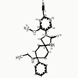 CCNC1(c2ccccc2)CCC2(CC1)CN(c1cnc(C#N)nc1OC)C(=O)N2